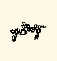 COc1ccc(-n2cnnn2)cc1C(=O)N1CCC(CCN2CCCN(c3nc4ccccc4n3Cc3ccco3)CC2)(c2ccc(Cl)c(Cl)c2)C1